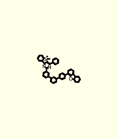 C[Si]1(C)c2ccccc2-c2nc(-c3cccc(-c4cccc(-c5ccc(-c6cccc7c6oc6ccccc67)cc5)c4)c3)nc(-c3ccccc3)c21